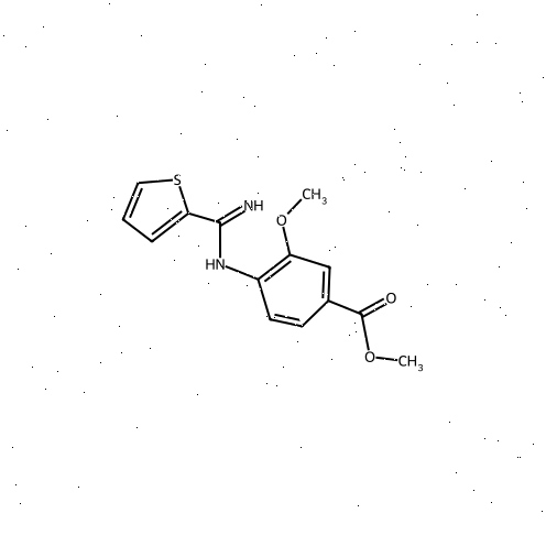 COC(=O)c1ccc(NC(=N)c2cccs2)c(OC)c1